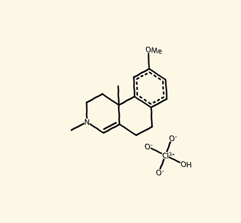 COc1ccc2c(c1)C1(C)CCN(C)C=C1CC2.[O-][Cl+3]([O-])([O-])O